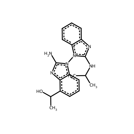 CC(C)Nc1nc2ccccc2n1-n1c(N)nc2c(C(C)O)cccc21